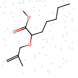 C=C(C)COC(CCCCC)C(=O)OC